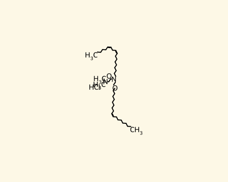 CCCCC/C=C\C/C=C\CCCCCCCCN(CCOCCCCCCCC/C=C\CCCCCCCC)C(=O)CN(C)C.Cl